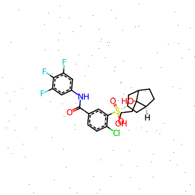 O=C(Nc1cc(F)c(F)c(F)c1)c1ccc(Cl)c(S(=O)(=O)[C@@H]2CC3CC[C@@H](C2)[C@@]3(O)CCO)c1